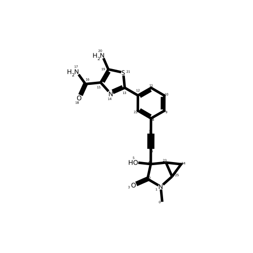 CN1C(=O)C(O)(C#Cc2cccc(-c3nc(C(N)=O)c(N)s3)c2)C2CC21